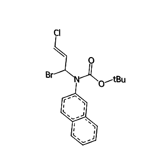 CC(C)(C)OC(=O)N(c1ccc2ccccc2c1)C(Br)C=CCl